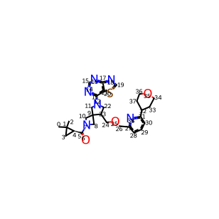 CC1(C)C[C@@H]1C(=O)N1CC2(C1)CN(c1ncnc3ncsc13)CC2COCc1cccc(C2CCOCC2)n1